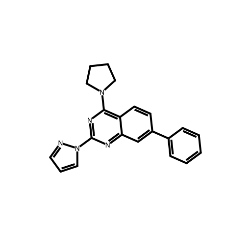 c1ccc(-c2ccc3c(N4CCCC4)nc(-n4cccn4)nc3c2)cc1